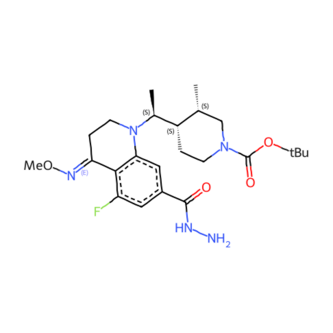 CO/N=C1\CCN([C@@H](C)[C@H]2CCN(C(=O)OC(C)(C)C)C[C@H]2C)c2cc(C(=O)NN)cc(F)c21